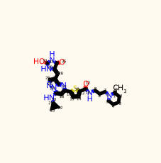 CC1CCCCN1CCCNC(=O)c1ccc(-c2cc(NC3CC3)n3ncc(/C=C4\NC(O)NC4=O)c3n2)s1